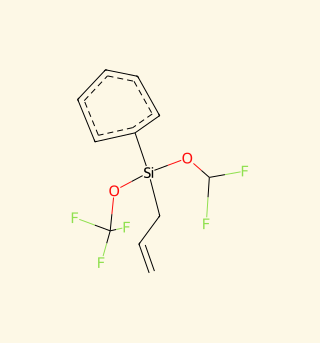 C=CC[Si](OC(F)F)(OC(F)(F)F)c1ccccc1